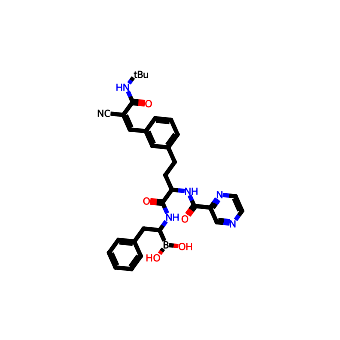 CC(C)(C)NC(=O)C(C#N)=Cc1cccc(CCC(NC(=O)c2cnccn2)C(=O)NC(Cc2ccccc2)B(O)O)c1